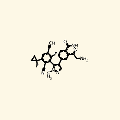 C#Cc1cc(C2(F)CC2)c(C#N)c(-c2c(-c3ccc4c(=O)[nH]nc(CN)c4c3)cnn2C)c1F